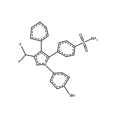 CC(C)(C)c1ccc(-n2nc(C(F)F)c(-c3ccccc3)c2-c2ccc(S(N)(=O)=O)cc2)cc1